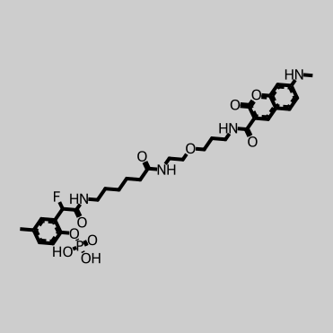 CNc1ccc2cc(C(=O)NCCCOCCNC(=O)CCCCCNC(=O)C(F)c3cc(C)ccc3OP(=O)(O)O)c(=O)oc2c1